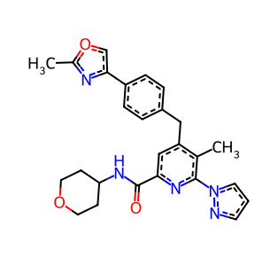 Cc1nc(-c2ccc(Cc3cc(C(=O)NC4CCOCC4)nc(-n4cccn4)c3C)cc2)co1